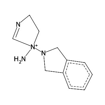 N[N+]1(N2Cc3ccccc3C2)C=NCC1